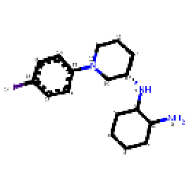 NC1CCCCC1N[C@H]1CCCN(c2ccc(I)cc2)C1